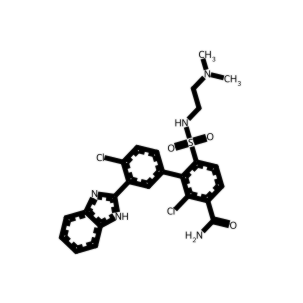 CN(C)CCNS(=O)(=O)c1ccc(C(N)=O)c(Cl)c1-c1ccc(Cl)c(-c2nc3ccccc3[nH]2)c1